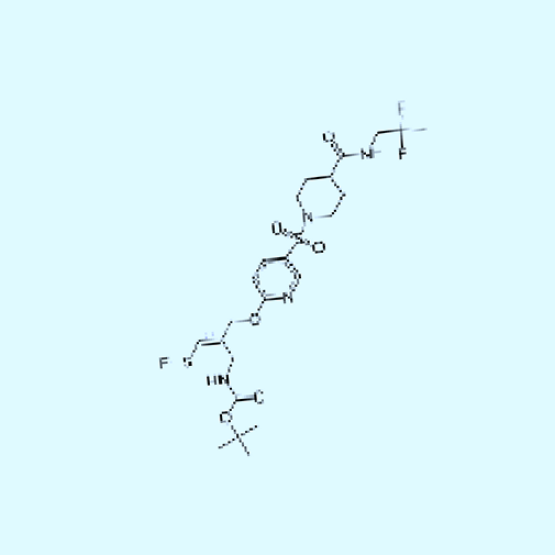 CC(F)(F)CNC(=O)C1CCN(S(=O)(=O)c2ccc(OC/C(=C/SF)CNC(=O)OC(C)(C)C)nc2)CC1